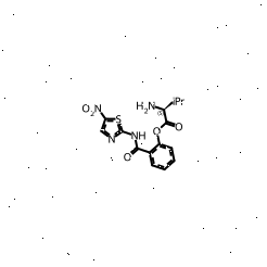 CC(C)[C@H](N)C(=O)Oc1ccccc1C(=O)Nc1ncc([N+](=O)[O-])s1